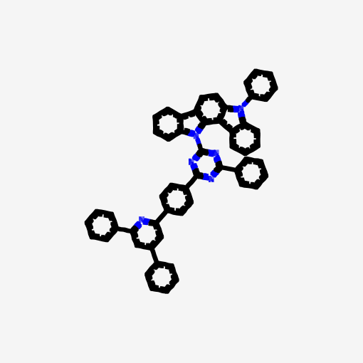 c1ccc(-c2cc(-c3ccccc3)nc(-c3ccc(-c4nc(-c5ccccc5)nc(-n5c6ccccc6c6ccc7c(c8ccccc8n7-c7ccccc7)c65)n4)cc3)c2)cc1